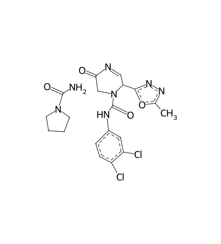 Cc1nnc(C2C=NC(=O)CN2C(=O)Nc2ccc(Cl)c(Cl)c2)o1.NC(=O)N1CCCC1